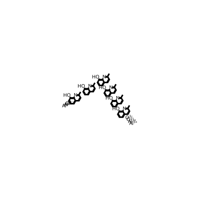 Cc1ccc2cccc(O)c2n1.Cc1ccc2cccc(O)c2n1.Cc1ccc2cccc(O)c2n1.Cc1ccc2cccc(O)c2n1.Cc1ccc2cccc(O)c2n1.Cc1ccc2cccc(O)c2n1.[Al+3].[Al+3].[Al+3].[Al+3].[O-2].[O-2].[O-2]